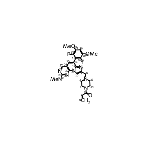 C=CC(=O)N1CCN(Cc2cn3c(n2)c(-c2c(F)c(OC)cc(OC)c2F)cc2cnc(NC)nc23)CC1